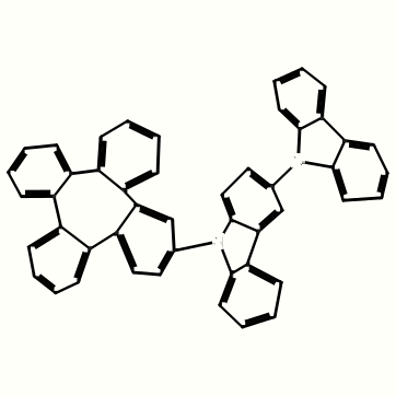 c1ccc2c(c1)-c1ccccc1-c1ccc(-n3c4ccccc4c4cc(-n5c6ccccc6c6ccccc65)ccc43)cc1-c1ccccc1-2